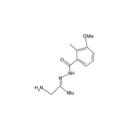 COc1cccc(C(=O)N/N=C(/CN)C(C)(C)C)c1C